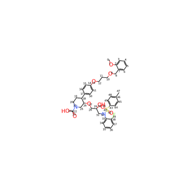 COc1ccccc1COCCCOc1ccc(C2CCN(C(=O)O)CC2OC[C@@H](O)CN(c2ccccc2F)S(=O)(=O)c2ccc(C)cc2)cc1